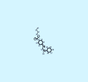 CCCCOC(=O)c1ccc(N=CN(C)c2ccccc2)cc1